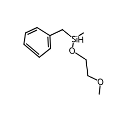 COCCO[SiH](C)Cc1ccccc1